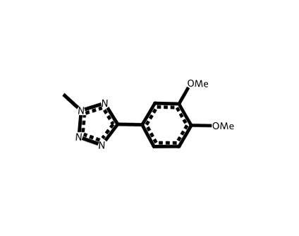 COc1ccc(-c2nnn(C)n2)cc1OC